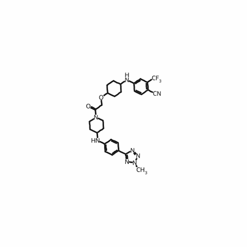 Cn1nnc(-c2ccc(NC3CCN(C(=O)COC4CCC(Nc5ccc(C#N)c(C(F)(F)F)c5)CC4)CC3)cc2)n1